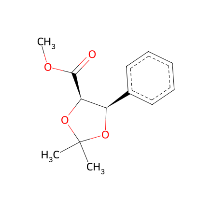 COC(=O)[C@@H]1OC(C)(C)O[C@@H]1c1ccccc1